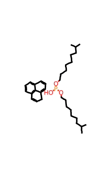 C1=Cc2cccc3cccc(c23)C1.CC(C)CCCCCCCOP(O)OCCCCCCCC(C)C